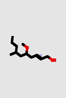 CCCC(C)CC(C/C=C/CO)OC